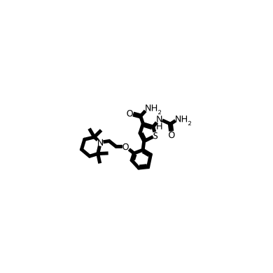 CC1(C)CCCC(C)(C)N1CCOc1ccccc1-c1cc(C(N)=O)c(NC(N)=O)s1